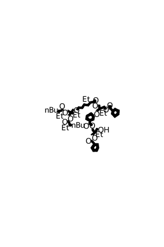 CCCCC(CC)C(=O)OCC(CC)(COCCCCC(CC)C(=O)OCC(CC)(COC(=O)c1ccccc1)COc1cccc(C(=O)OCC(CC)(CO)COC(=O)c2ccccc2)c1)COC(=O)C(CC)CCCC